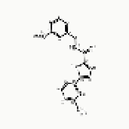 COc1cccc(CNC(=O)c2ccc(-c3ccnc(N)n3)s2)c1